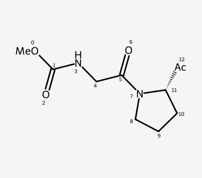 COC(=O)NCC(=O)N1CCC[C@H]1C(C)=O